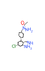 CC(=O)N(N)Cc1ccc(-c2cc(Cl)cc(N)c2C=N)cc1